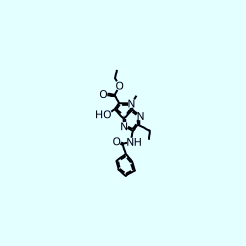 CCOC(=O)c1c(O)c2nc(NC(=O)c3ccccc3)c(CC)nc2n1C